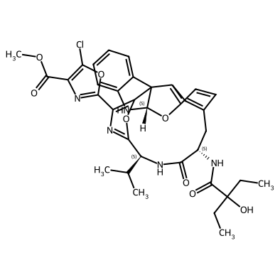 CCC(O)(CC)C(=O)N[C@H]1Cc2ccc3c(c2)C2(c4ccccc4N[C@H]2O3)c2oc(nc2-c2nc(C(=O)OC)c(Cl)o2)[C@H](C(C)C)NC1=O